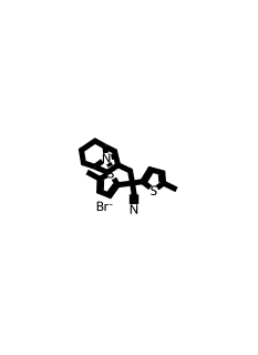 Cc1ccc(C(C#N)(CC2CC3CCCC(C2)[N+]3(C)C)c2ccc(C)s2)s1.[Br-]